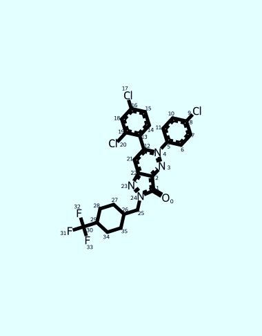 O=c1c2nn(-c3ccc(Cl)cc3)c(-c3ccc(Cl)cc3Cl)cc-2nn1CC1CCC(C(F)(F)F)CC1